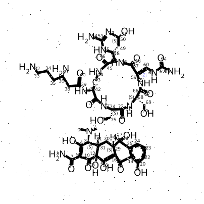 CN(C)[C@@H]1C(O)=C(C(N)=O)C(=O)[C@@]2(O)C(O)=C3C(=O)c4c(O)cccc4[C@@](C)(O)[C@H]3C[C@@H]12.NCCC[C@H](N)CC(=O)N[C@H]1CNC(=O)[C@H]([C@H]2C[C@H](O)N=C(N)N2)NC(=O)/C(=C/NC(N)=O)NC(=O)[C@H](CO)NC(=O)[C@H](CO)NC1=O